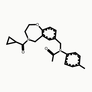 CC(=O)N(Cc1ccc2c(c1)CN(C(=O)C1CC1)CCO2)c1ccc(C)cc1